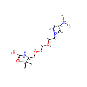 CC(C)(C)C(COCCOCCn1cc([N+](=O)[O-])cn1)NC(=O)O